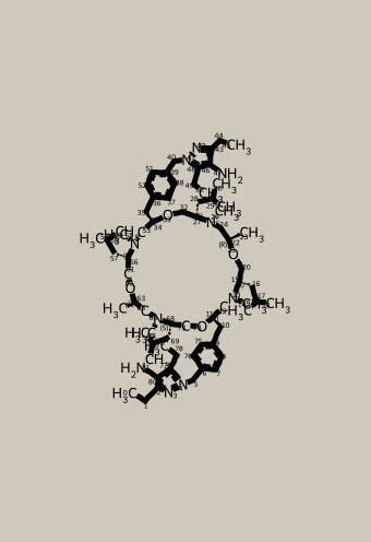 CCc1nn(Cc2ccc(C[C@@H]3CN(C)[C@@H](CC(C)C)CO[C@H](C)CN(C)[C@@H](CC(C)C)CO[C@H](Cc4ccc(Cn5nc(CC)c(N)c5CC)cc4)CN(C)[C@@H](CC(C)C)CO[C@H](C)CN(C)[C@@H](CC(C)C)CO3)cc2)c(CC)c1N